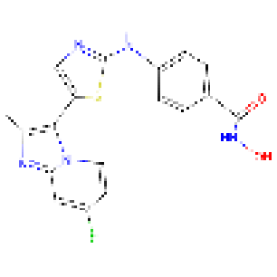 Cc1nc2cc(Cl)ccn2c1-c1cnc(Nc2ccc(C(=O)NO)cc2)s1